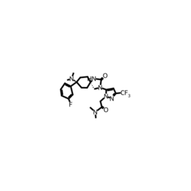 CN(C)C(=O)Cn1nc(C(F)(F)F)cc1N1C[C@]2(CC[C@](c3cccc(F)c3)(N(C)C)CC2)NC1=O